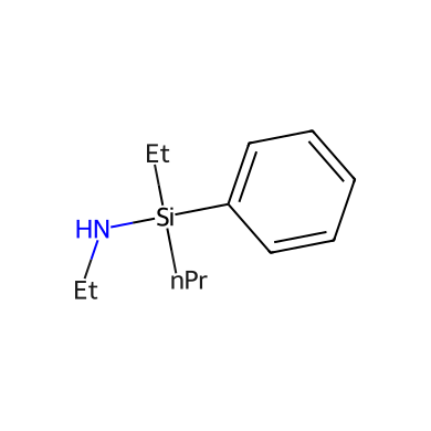 CCC[Si](CC)(NCC)c1ccccc1